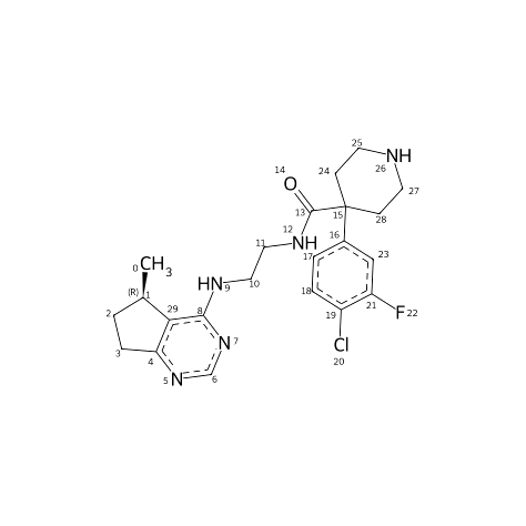 C[C@@H]1CCc2ncnc(NCCNC(=O)C3(c4ccc(Cl)c(F)c4)CCNCC3)c21